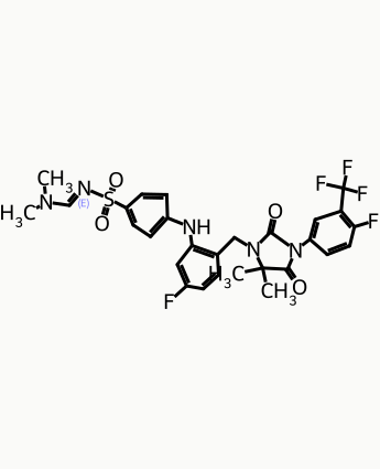 CN(C)/C=N/S(=O)(=O)c1ccc(Nc2cc(F)ccc2CN2C(=O)N(c3ccc(F)c(C(F)(F)F)c3)C(=O)C2(C)C)cc1